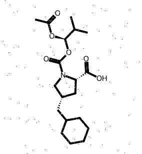 CC(=O)O[C@H](OC(=O)N1C[C@@H](CC2CCCCC2)C[C@H]1C(=O)O)C(C)C